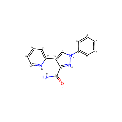 NC(=O)c1nn(-c2c[c]ccc2)cc1-c1ccccn1